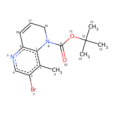 Cc1c(Br)cnc2c1N(C(=O)OC(C)(C)C)CC=C2